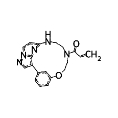 C=CC(=O)N1CCNc2ccn3ncc(c3n2)-c2cccc(c2)OCC1